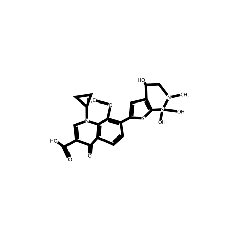 COc1c(-c2cc3c(s2)S(O)(O)N(C)CC3O)ccc2c(=O)c(C(=O)O)cn(C3CC3)c12